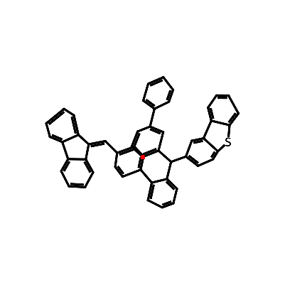 C(=C1c2ccccc2-c2ccccc21)c1ccc(-c2ccccc2C(c2cccc(-c3ccccc3)c2)c2ccc3sc4ccccc4c3c2)cc1